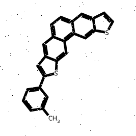 Cc1cccc(-c2cc3cc4ccc5cc6ccsc6cc5c4cc3s2)c1